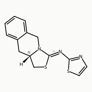 c1ccc2c(c1)C[C@H]1CS/C(=N\c3nccs3)N1C2